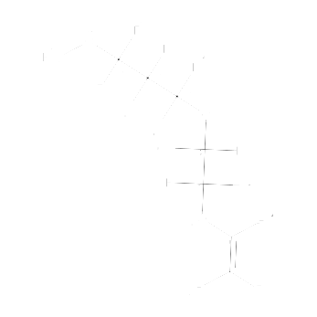 FC(F)=C(F)OC(F)(F)C(F)(F)OC(F)(F)C(F)(F)C(F)(F)OC(F)(F)F